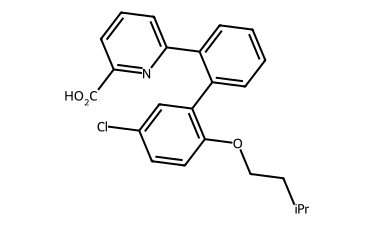 CC(C)CCOc1ccc(Cl)cc1-c1ccccc1-c1cccc(C(=O)O)n1